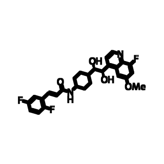 COc1cc(F)c2nccc([C@@H](O)[C@H](O)C3CCC(NC(=O)/C=C/c4cc(F)ccc4F)CC3)c2c1